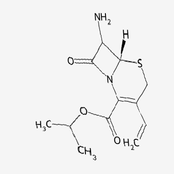 C=CC1=C(C(=O)OC(C)C)N2C(=O)C(N)[C@@H]2SC1